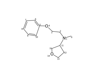 CN(CCOc1ccccc1)C1CCOC1